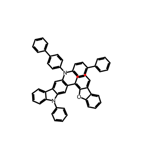 c1ccc(-c2ccc(N(c3ccc(-c4ccccc4)cc3)c3cc4c5ccccc5n(-c5ccccc5)c4cc3-c3cccc4c3oc3ccccc34)cc2)cc1